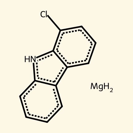 Clc1cccc2c1[nH]c1ccccc12.[MgH2]